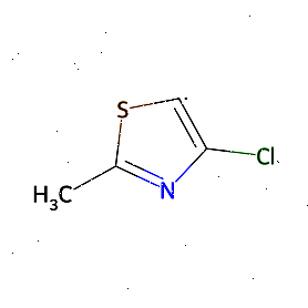 Cc1nc(Cl)[c]s1